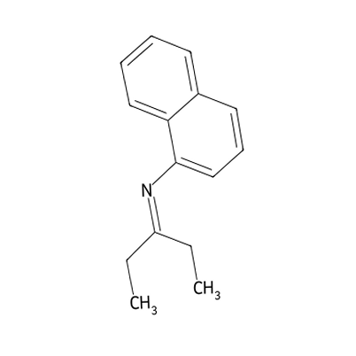 CCC(CC)=Nc1cccc2ccccc12